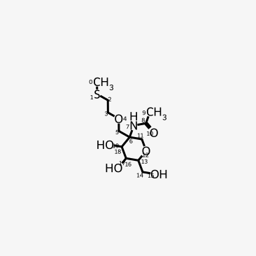 CSCCOCC1(NC(C)=O)COC(CO)C(O)C1O